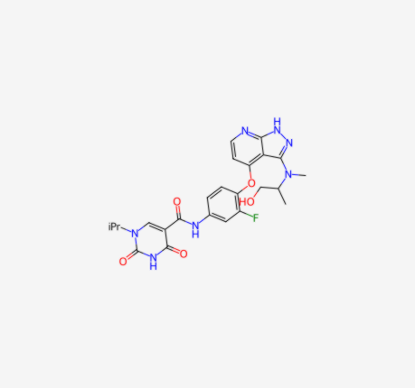 CC(CO)N(C)c1n[nH]c2nccc(Oc3ccc(NC(=O)c4cn(C(C)C)c(=O)[nH]c4=O)cc3F)c12